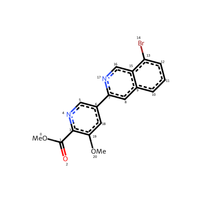 COC(=O)c1ncc(-c2cc3cccc(Br)c3cn2)cc1OC